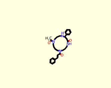 CC(=O)N1CCCCN(C(=O)/C=C/c2ccccc2)CCCNC(=O)CC(c2ccccc2)NCCC1